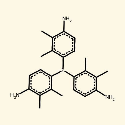 Cc1c(N)ccc(P(c2ccc(N)c(C)c2C)c2ccc(N)c(C)c2C)c1C